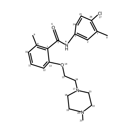 Cc1cc(NC(=O)c2c(C)cccc2OCCN2CCN(C)CC2)ccc1Cl